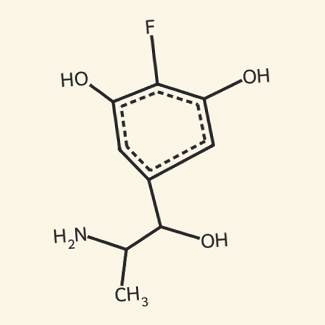 CC(N)C(O)c1cc(O)c(F)c(O)c1